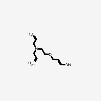 C=CCN(CC=C)CCOCC=CO